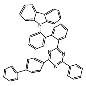 c1ccc(-c2ccc(-c3nc(-c4ccccc4)nc(-c4ccccc4-c4ccccc4-n4c5ccccc5c5ccccc54)n3)cc2)cc1